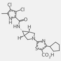 Cc1[nH]c(C(=O)N[C@@H]2[C@@H]3CN(c4nc(C5CCCC5)c(C(=O)O)s4)C[C@@H]32)c(Cl)c1Cl